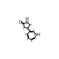 O=C1CC(C2=CNC=CC=C2)CN1